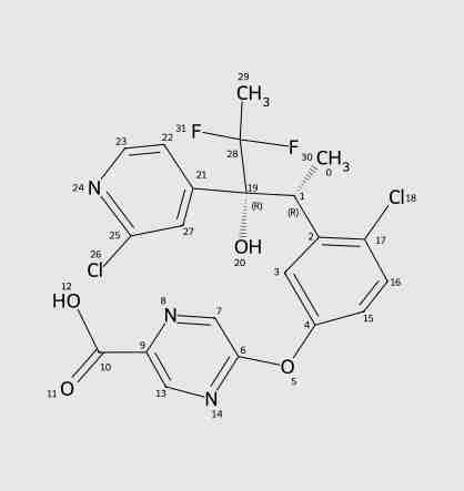 C[C@H](c1cc(Oc2cnc(C(=O)O)cn2)ccc1Cl)[C@@](O)(c1ccnc(Cl)c1)C(C)(F)F